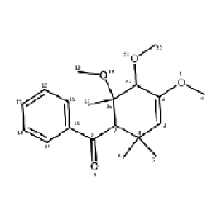 COC1=CC(C)(C)C(C(=O)c2ccccc2)C(C)(OC)C1OC